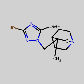 COc1nc(Br)nn1CC1(C)CN2CCC1CC2